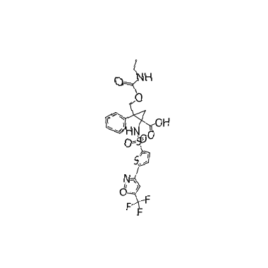 CCNC(=O)OCC1(c2ccccc2)CC1(NS(=O)(=O)c1ccc(-c2cc(C(F)(F)F)on2)s1)C(=O)O